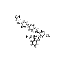 C[C@H](NC(=O)c1cc(C#N)cnc1NCc1ccc(-c2ccc(NCCO)nc2)cc1)c1ccc(F)cc1